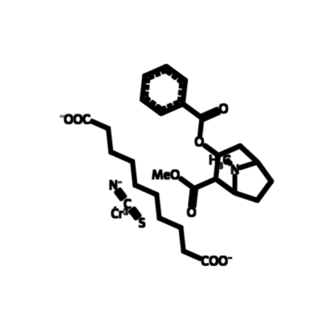 COC(=O)C1C(OC(=O)c2ccccc2)CC2CCC1N2C.O=C([O-])CCCCCCCCC(=O)[O-].[Cr+3].[N-]=C=S